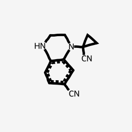 N#Cc1ccc2c(c1)N(C1(C#N)CC1)CCN2